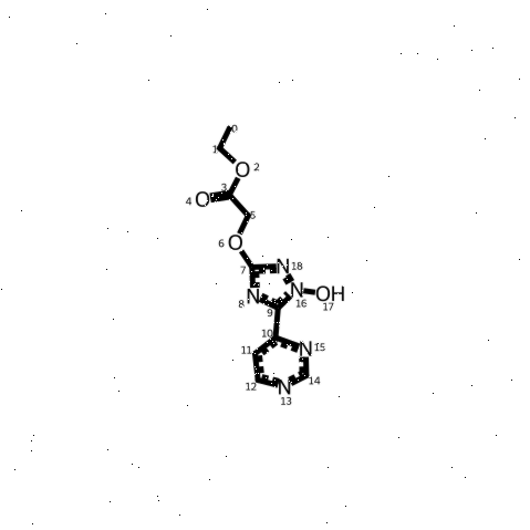 CCOC(=O)COc1nc(-c2ccncn2)n(O)n1